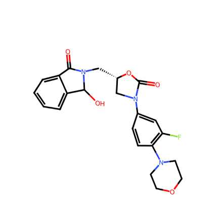 O=C1O[C@@H](CN2C(=O)c3ccccc3C2O)CN1c1ccc(N2CCOCC2)c(F)c1